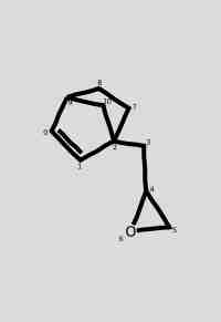 C1=CC2(CC3CO3)CCC1C2